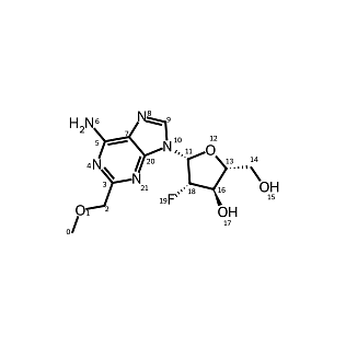 COCc1nc(N)c2ncn([C@@H]3O[C@H](CO)[C@@H](O)[C@@H]3F)c2n1